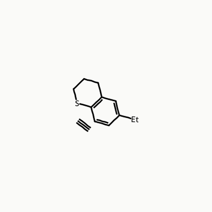 C#C.CCc1ccc2c(c1)CCCS2